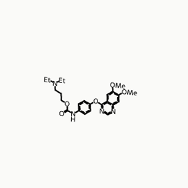 CCN(CC)CCCOC(=O)Nc1ccc(Oc2ncnc3cc(OC)c(OC)cc23)cc1